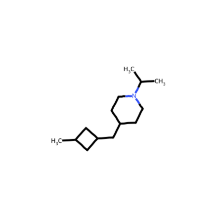 CC1CC(CC2CCN(C(C)C)CC2)C1